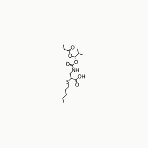 CCCCCS[C@@H](CNC(=O)O[C@H](OC(=O)CC)C(C)C)C(=O)O